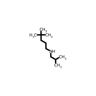 CC(C)CNCCCC(C)(C)C